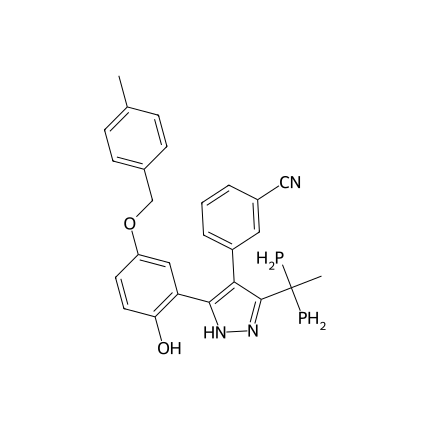 Cc1ccc(COc2ccc(O)c(-c3[nH]nc(C(C)(P)P)c3-c3cccc(C#N)c3)c2)cc1